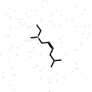 CCN(C)C/C=C\CC(C)C